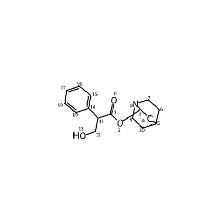 O=C(OC1CC2CCN1CC2)C(CO)c1ccccc1